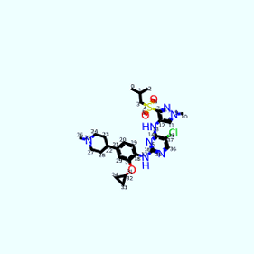 CC(C)CS(=O)(=O)c1nn(C)cc1Nc1nc(Nc2ccc(C3CCN(C)CC3)cc2OC2CC2)ncc1Cl